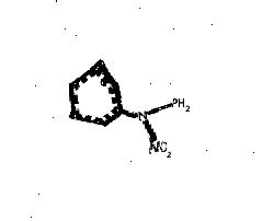 O=[N+]([O-])N(P)c1ccccc1